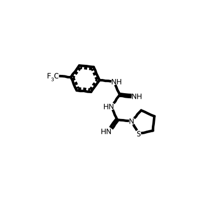 N=C(NC(=N)N1CCCS1)Nc1ccc(C(F)(F)F)cc1